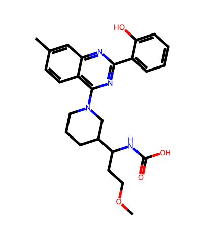 COCCC(NC(=O)O)C1CCCN(c2nc(-c3ccccc3O)nc3cc(C)ccc23)C1